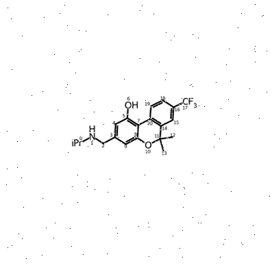 CC(C)NCc1cc(O)c2c(c1)OC(C)(C)c1cc(C(F)(F)F)ccc1-2